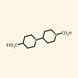 CCOC(=O)C1CCN(C2CCN(C(=O)O)CC2)CC1